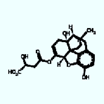 CN1CCC23c4c5ccc(O)c4O[C@H]2C(OC(=O)C[C@H](O)C(=O)O)=CC[C@@]3(O)[C@H]1C5